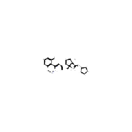 C=C(/C=C(\N=N/C)c1ccccc1F)[C@@H]1CC[C@@](C)(C(=O)NC2CCCC2)C1(C)C